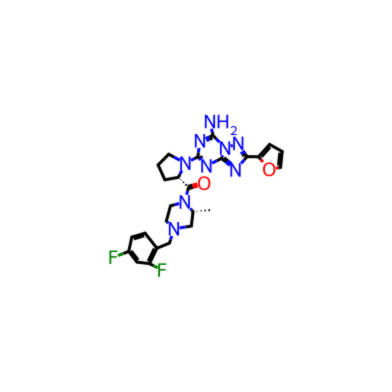 C[C@@H]1CN(Cc2ccc(F)cc2F)CCN1C(=O)[C@@H]1CCCN1c1nc(N)n2nc(-c3ccco3)nc2n1